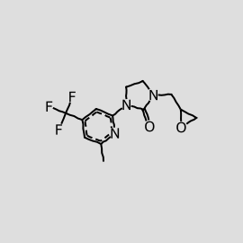 Cc1cc(C(F)(F)F)cc(N2CCN(CC3CO3)C2=O)n1